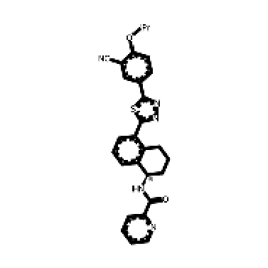 CC(C)Oc1ccc(-c2nnc(-c3cccc4c3CCC[C@H]4NC(=O)c3ccccn3)s2)cc1C#N